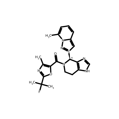 CC1=CC=CC2=CS([C@H]3c4nc[nH]c4CCN3C(=O)c3oc(C(C)(C)F)nc3C)=NN12